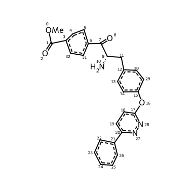 COC(=O)c1ccc(C(=O)[C@@H](N)Cc2ccc(Oc3ccc(-c4ccccc4)nn3)cc2)cc1